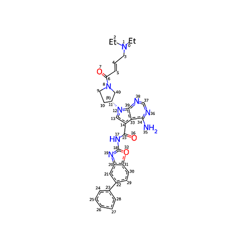 CCN(CC)CC=CC(=O)N1CC[C@@H](n2cc(C(=O)Nc3nc4cc(-c5ccccc5)ccc4o3)c3c(N)ncnc32)C1